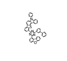 c1ccc(-c2cccc(-c3nc(-c4cccc5c4sc4c5ccc5c4c4ccccc4n5-c4ccccc4)nc(-c4cccc5oc6ccccc6c45)n3)c2)cc1